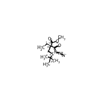 CC[C@](CSC(C)(C)C)(C(=O)N=[N+]=[N-])C(=O)OC